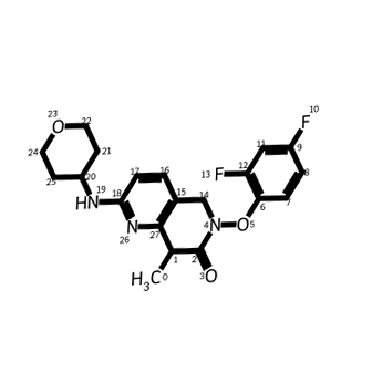 CC1C(=O)N(Oc2ccc(F)cc2F)Cc2ccc(NC3CCOCC3)nc21